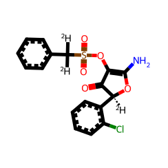 [2H]C([2H])(c1ccccc1)S(=O)(=O)OC1=C(N)O[C@@]([2H])(c2ccccc2Cl)C1=O